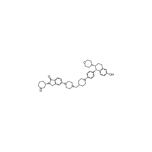 O=C1c2ccc(N3CCN(CC4CCN(c5ccc([C@@H]6c7ccc(O)cc7CC[C@@H]6C6CCOCC6)cc5)CC4)CC3)cc2CN1[C@@H]1CCCNC1